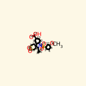 COc1cccc(S(=O)(=O)N2c3ccc(C(=O)O)cc3C3(CCS(=O)(=O)CC3)C2C2CC2)c1